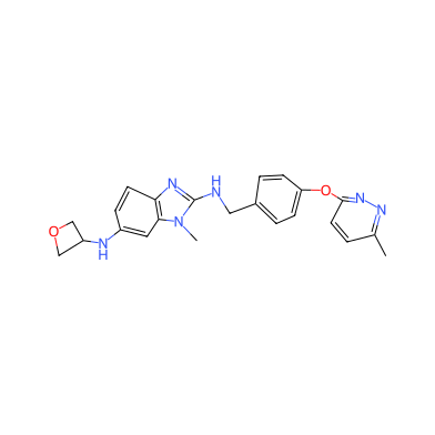 Cc1ccc(Oc2ccc(CNc3nc4ccc(NC5COC5)cc4n3C)cc2)nn1